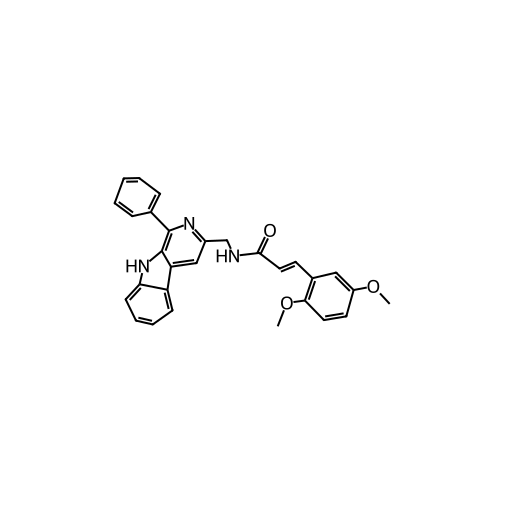 COc1ccc(OC)c(/C=C/C(=O)NCc2cc3c([nH]c4ccccc43)c(-c3ccccc3)n2)c1